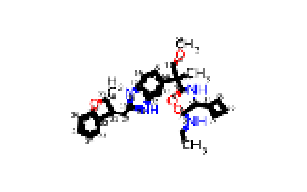 CCNC(=O)[C@H](NC(=O)C(C)(COC)c1ccc2nc(C[C@H]3c4ccccc4OC3C)[nH]c2c1)C12CC(C1)C2